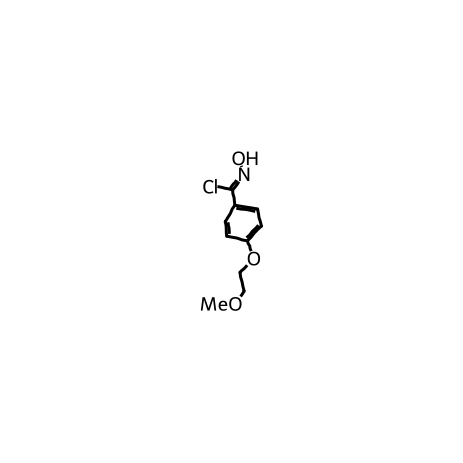 COCCOc1ccc(C(Cl)=NO)cc1